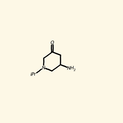 CC(C)N1CC(=O)CC(N)C1